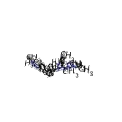 C\C=C/C(=C\C(C)=C\CC)C(/C)=C(C#N)/C=C(\C=C\CCC)CNc1nccc(-c2ccc(C)c(/C=C\C=C\CCC)n2)c1C